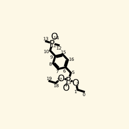 CCOP(=O)(Cc1ccc(CP(C)(C)=O)cc1)OCC